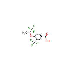 C[C@H](Oc1ccc(C(=O)O)cc1C(F)(F)F)C(F)(F)F